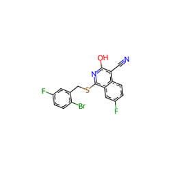 N#Cc1c(O)nc(SCc2cc(F)ccc2Br)c2cc(F)ccc12